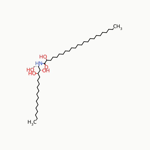 CCCCCCCCCCCCCCCCCCCCCCC(O)C(=O)N[C@@H](CO)[C@H](O)[C@H](O)CCCCCCCCCCCCCC